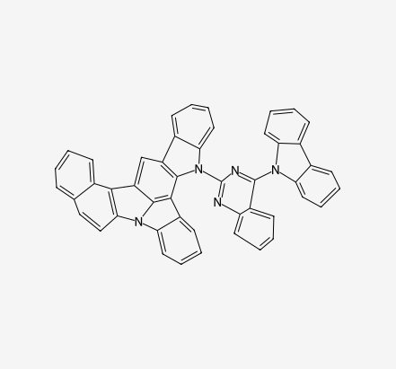 c1ccc2c(c1)ccc1c2c2cc3c4ccccc4n(-c4nc(-n5c6ccccc6c6ccccc65)c5ccccc5n4)c3c3c4ccccc4n1c23